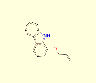 C=CCOc1cccc2c1[nH]c1ccccc12